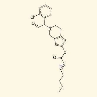 CCCC/C=C/C(=O)Oc1cc2c(s1)CCN(C(C=O)c1ccccc1Cl)C2